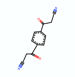 N#CCC(=O)c1ccc(C(=O)CC#N)cc1